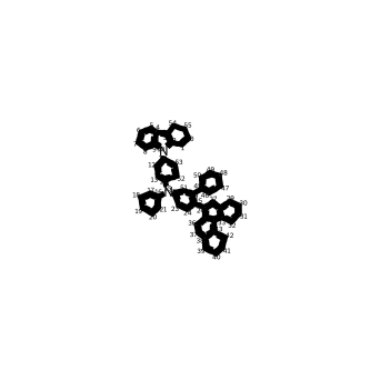 C1=Cc2c(c3ccccc3n2-c2ccc(N(c3ccccc3)c3ccc(-c4cc5ccccc5c5c4ccc4ccccc45)c(-c4ccccc4)c3)cc2)CC1